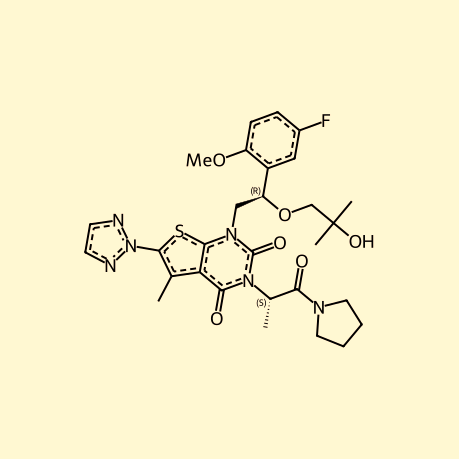 COc1ccc(F)cc1[C@H](Cn1c(=O)n([C@@H](C)C(=O)N2CCCC2)c(=O)c2c(C)c(-n3nccn3)sc21)OCC(C)(C)O